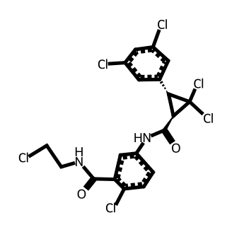 O=C(NCCCl)c1cc(NC(=O)[C@H]2[C@H](c3cc(Cl)cc(Cl)c3)C2(Cl)Cl)ccc1Cl